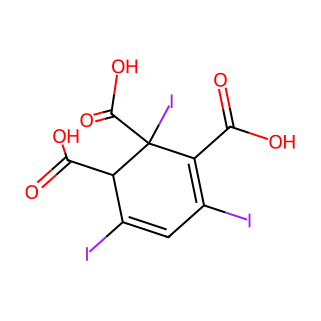 O=C(O)C1=C(I)C=C(I)C(C(=O)O)C1(I)C(=O)O